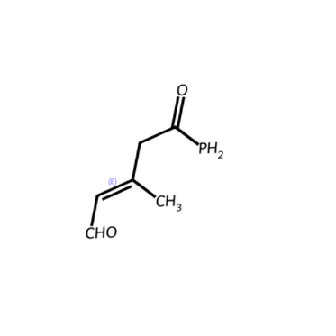 C/C(=C\C=O)CC(=O)P